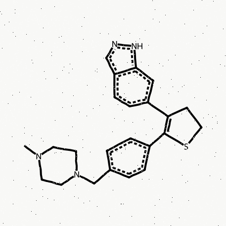 CN1CCN(Cc2ccc(C3=C(c4ccc5cn[nH]c5c4)CCS3)cc2)CC1